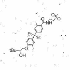 CCC(CC)(c1ccc(OCC(O)C(C)(C)C)c(C)c1)c1ccc(C(=O)NCCS(C)(=O)=O)c(C)c1